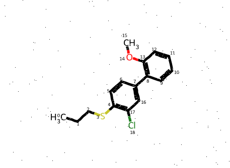 CCCSc1ccc(-c2[c]cccc2OC)cc1Cl